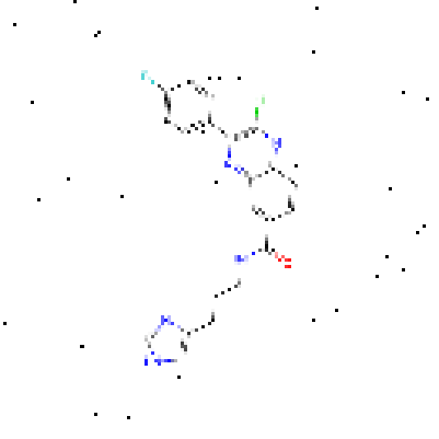 O=C(NCCCc1c[nH]cn1)c1ccc2nc(Cl)c(-c3ccc(F)cc3)nc2c1